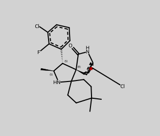 C[C@@H]1NC2(CCC(C)(C)CC2)[C@@]2(C(=O)Nc3cc(Cl)ccc32)[C@H]1c1cccc(Cl)c1F